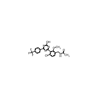 COc1c(CNC(C)=O)ccc(Cl)c1-c1nc(O)nc(-c2ccc(C(F)(F)F)cc2)n1